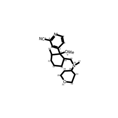 COC1(c2ccnc(C#N)c2)C(C)CCCC1CN(C)C1CCOCC1